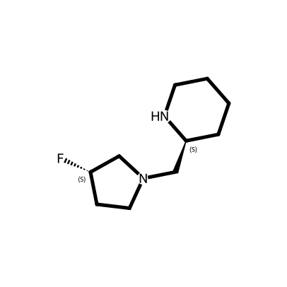 F[C@H]1CCN(C[C@@H]2CCCCN2)C1